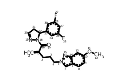 C=C(CCCn1cc2ccc(OC)cc2n1)C(=O)N1N=CCC1c1cc(F)cc(F)c1